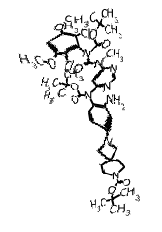 COc1cc(OC)c(Cl)c(N(C(=O)OC(C)(C)C)C(=O)N(C)c2cc(N(C(=O)OC(C)(C)C)c3ccc(N4CC5(CCN(C(=O)OC(C)(C)C)CC5)C4)cc3N)ncn2)c1Cl